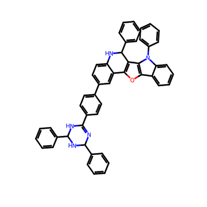 c1ccc(C2N=C(c3ccc(-c4ccc5c(c4)-c4oc6c7ccccc7n(-c7ccccc7)c6c4C(c4ccccc4)N5)cc3)NC(c3ccccc3)N2)cc1